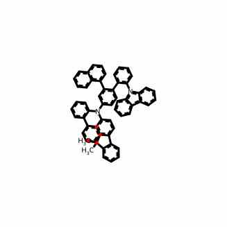 CC1(C)c2ccccc2-c2ccc(N(c3ccc(-c4ccccc4-n4c5ccccc5c5ccccc54)c(-c4cccc5ccccc45)c3)c3ccccc3-c3ccccc3)cc21